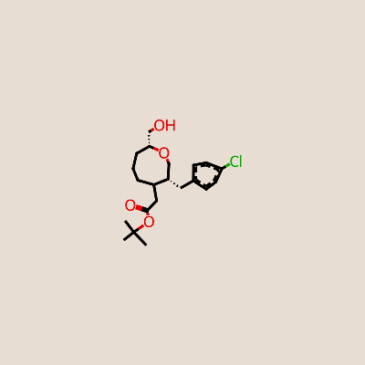 CC(C)(C)OC(=O)CC1CCC[C@H](CO)OC[C@@H]1Cc1ccc(Cl)cc1